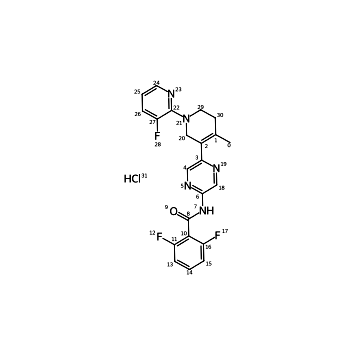 CC1=C(c2cnc(NC(=O)c3c(F)cccc3F)cn2)CN(c2ncccc2F)CC1.Cl